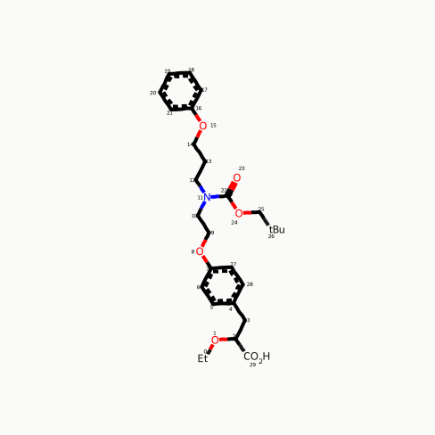 CCOC(Cc1ccc(OCCN(CCCOc2ccccc2)C(=O)OCC(C)(C)C)cc1)C(=O)O